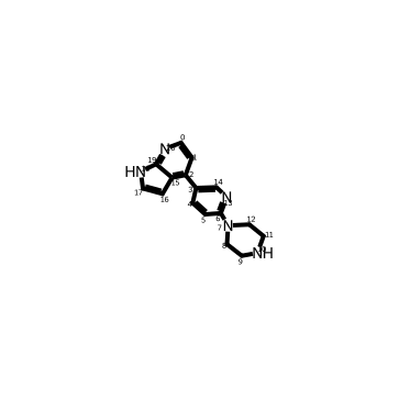 c1cc(-c2ccc(N3CCNCC3)nc2)c2cc[nH]c2n1